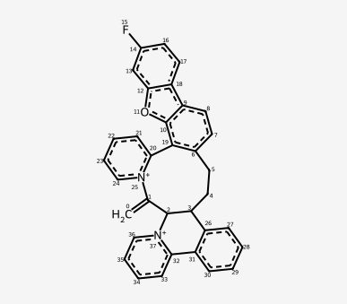 C=C1C2C(CCc3ccc4c(oc5cc(F)ccc54)c3-c3cccc[n+]31)c1ccccc1-c1cccc[n+]12